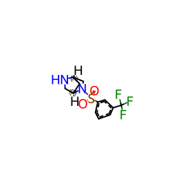 O=S(=O)(c1cccc(C(F)(F)F)c1)N1C[C@H]2C[C@@H]1CN2